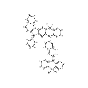 CC[Si]1(CC)c2ccccc2N(c2ccc3cc(N4c5ccccc5C(C)(C)c5cc6c7c8ccccc8ccc7n(-c7ccccc7)c6cc54)ccc3c2)c2ccccc21